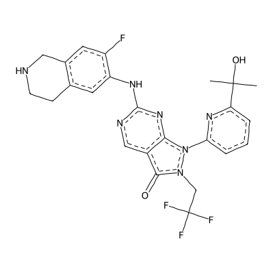 CC(C)(O)c1cccc(-n2c3nc(Nc4cc5c(cc4F)CNCC5)ncc3c(=O)n2CC(F)(F)F)n1